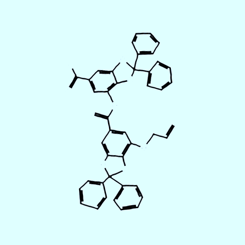 C=CCOc1cc(C(=O)Oc2cc(C(=O)O)cc3c2OC(c2ccccc2)(c2ccccc2)O3)cc2c1OC(c1ccccc1)(c1ccccc1)O2